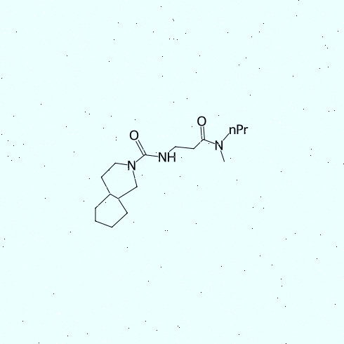 CCCN(C)C(=O)CCNC(=O)N1CCC2CCCCC2C1